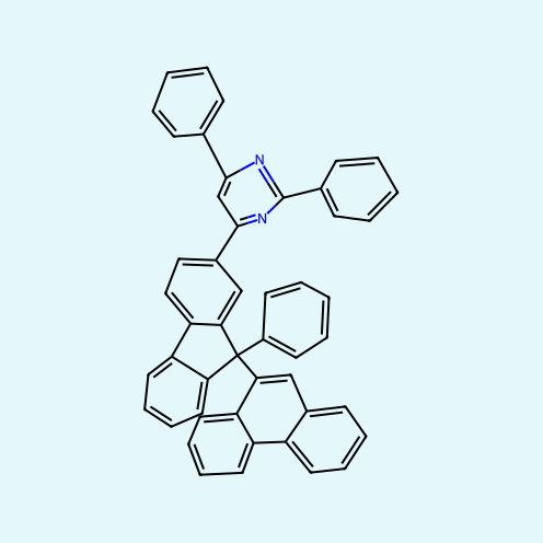 c1ccc(-c2cc(-c3ccc4c(c3)C(c3ccccc3)(c3cc5ccccc5c5ccccc35)c3ccccc3-4)nc(-c3ccccc3)n2)cc1